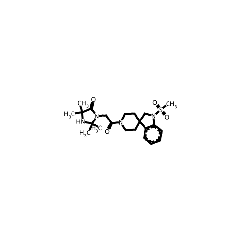 CC1(C)NC(C)(C)N(CC(=O)N2CCC3(CC2)CN(S(C)(=O)=O)c2ccccc23)C1=O